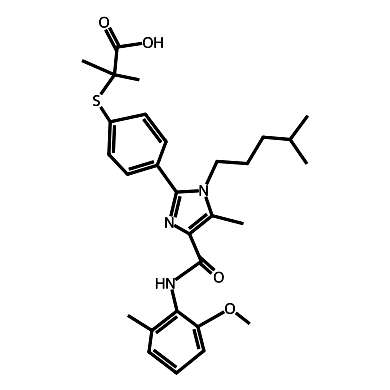 COc1cccc(C)c1NC(=O)c1nc(-c2ccc(SC(C)(C)C(=O)O)cc2)n(CCCC(C)C)c1C